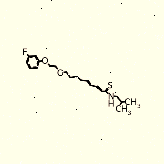 CC(C)CNC(=S)/C=C/C=C/CCCCOCCOc1cccc(F)c1